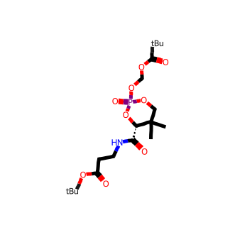 CC(C)(C)OC(=O)CCNC(=O)[C@@H]1OP(=O)(OCOC(=O)C(C)(C)C)OCC1(C)C